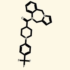 O=C(C1CCN(c2ccc(C(F)(F)F)cc2)CC1)N1Cc2cccn2Cc2ccccc21